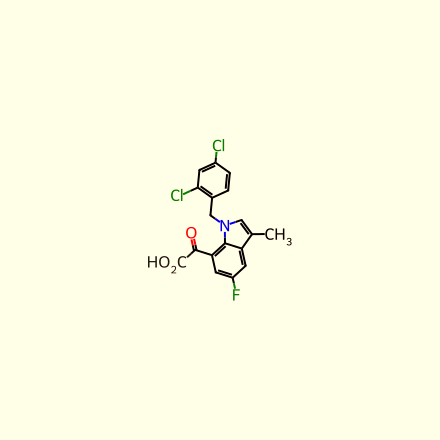 Cc1cn(Cc2ccc(Cl)cc2Cl)c2c(C(=O)C(=O)O)cc(F)cc12